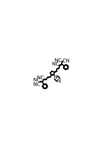 CN1CCN(C2=C(/C=C/C=C(\C#N)C(=C(C#N)C#N)c3ccccc3)CC\C2=C/C=C/C(C#N)=C(\c2ccccc2)C(C#N)C#N)CC1